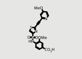 COc1ccnc(C#Cc2nc(S(=O)(=O)Nc3ccc(C(=O)O)cc3OC)cs2)c1